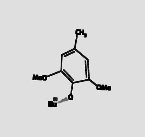 CC[C@@H](C)Oc1c(OC)cc(C)cc1OC